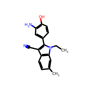 CCn1c(-c2ccc(O)c(N)c2)c(C#N)c2ccc(C)cc21